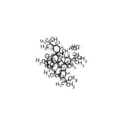 Cl.Cl.[CH2]=[Zr]([C]1=C(CC)C(C(C)(C)C)=CC1CC)([c]1ccc(C(C)(C)C)cc1)([c]1ccc(C(C)(C)C)cc1)[c]1cc(C(C)(C)C)cc2c1Cc1ccc(C(C)(C)C)cc1-2